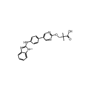 Cn1c(Nc2ccc(-c3cnc(OCC(C)(C)C(=O)O)nc3)cc2)nc2ccccc21